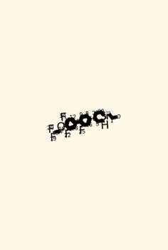 CCC[Si@H]1CC[C@H](c2ccc(-c3cc(F)c(OCC(F)F)c(F)c3)c(F)c2)CC1